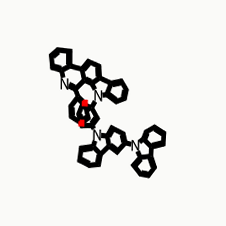 c1ccc(-c2nc3ccccc3c3ccc4c5ccccc5n(-c5cccc(-n6c7ccccc7c7cc(-n8c9ccccc9c9ccccc98)ccc76)c5)c4c23)cc1